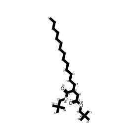 CCCCCCCCCCCCCCC(CC(=O)OCC(C)(C)C)C(=O)OCC(C)(C)C